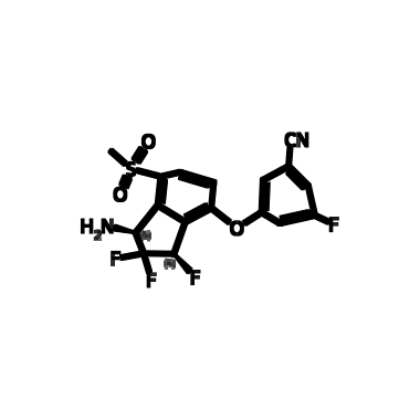 CS(=O)(=O)c1ccc(Oc2cc(F)cc(C#N)c2)c2c1[C@H](N)C(F)(F)[C@@H]2F